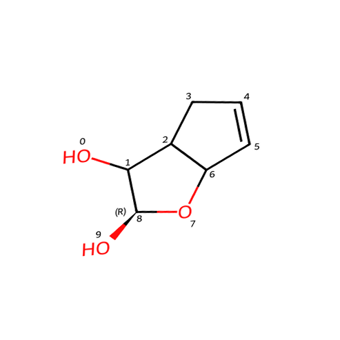 OC1C2CC=CC2O[C@H]1O